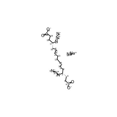 [N-]=[N+]=N[C@@H](CCS(=O)[O-])CSSCCSSC[C@H](CCS(=O)[O-])N=[N+]=[N-].[Na+].[Na+]